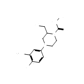 COc1cc(N2CCN(C(=O)OC(C)(C)C)C(CC(C)=O)C2)ccc1F